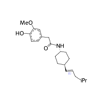 COc1cc(CC(=O)N[C@H]2CC[C@H](/C=C/CC(C)C)CC2)ccc1O